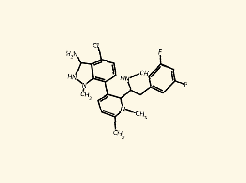 CNC(Cc1cc(F)cc(F)c1)C1C(c2ccc(Cl)c3c2N(C)NC3N)=CC=C(C)N1C